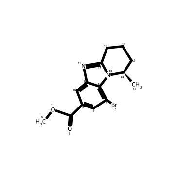 COC(=O)c1cc(Br)c2c(c1)nc1n2[C@H](C)CCC1